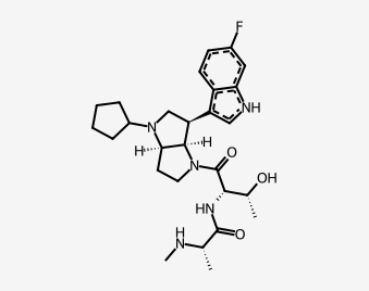 CN[C@@H](C)C(=O)N[C@H](C(=O)N1CC[C@@H]2[C@H]1[C@H](c1c[nH]c3cc(F)ccc13)CN2C1CCCC1)[C@@H](C)O